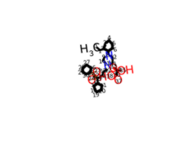 CCc1ccccc1N1CCN(CCCC(c2ccccc2)S(=O)(=O)c2ccccc2)CC1.O=C(O)C(=O)O